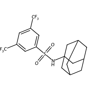 O=S(=O)(NC12CC3CC(CC(C3)C1)C2)c1cc(C(F)(F)F)cc(C(F)(F)F)c1